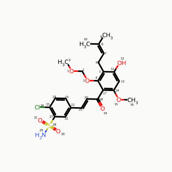 COCOc1c(CC=C(C)C)c(O)cc(OC)c1C(=O)/C=C/c1ccc(Cl)c(S(N)(=O)=O)c1